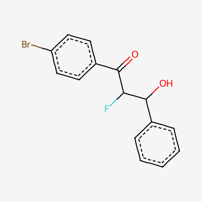 O=C(c1ccc(Br)cc1)C(F)C(O)c1ccccc1